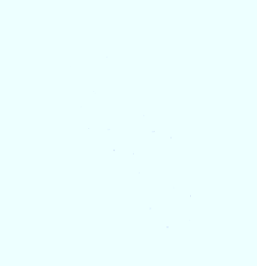 c1csc(-c2ccc3cc4cc(-c5cccs5)ccc4cc3c2)c1